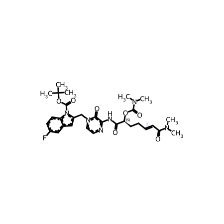 CN(C)C(=O)/C=C/CC[C@H](OC(=O)N(C)C)C(=O)Nc1nccn(Cc2cc3cc(F)ccc3n2C(=O)OC(C)(C)C)c1=O